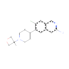 CC1(N2CCC(c3cc4cc(N)ncc4cc3Cl)CC2)COC1